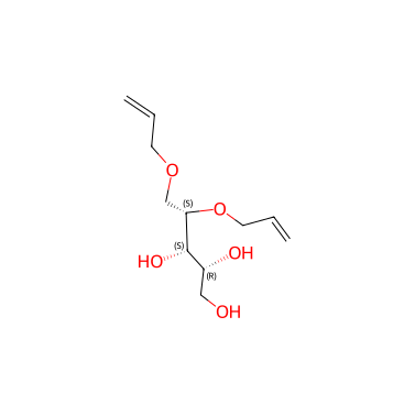 C=CCOC[C@H](OCC=C)[C@@H](O)[C@H](O)CO